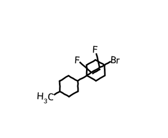 CC1CCC(C23CCC(Br)(CC2)C(F)=C3F)CC1